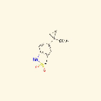 O=C(O)C1(c2ccc3c(c2)CS(=O)(=O)N3)CC1